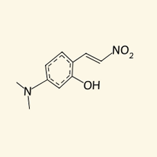 CN(C)c1ccc(C=C[N+](=O)[O-])c(O)c1